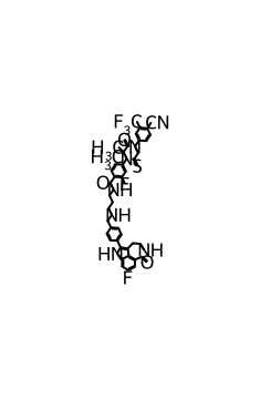 CC1(C)C(=O)N(c2ccc(C#N)c(C(F)(F)F)c2)CC(=S)N1c1ccc(C(=O)NCCCNCc2ccc(-c3[nH]c4cc(F)cc5c4c3CCNC5=O)cc2)c(F)c1